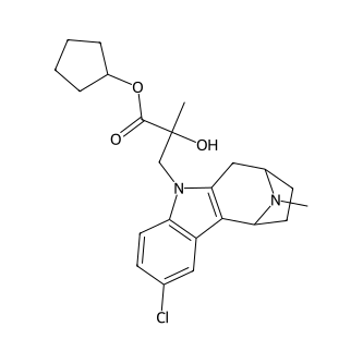 CN1C2CCC1c1c(n(CC(C)(O)C(=O)OC3CCCC3)c3ccc(Cl)cc13)C2